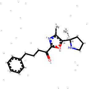 CC(C)c1nc(C(=O)CCCc2ccccc2)oc1[C@@]1(C#N)CCCN1